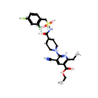 CCOC(=O)c1cc(C#N)c(N2CCC(C(=O)NS(=O)(=O)Cc3ccc(F)cc3Cl)CC2)nc1CC